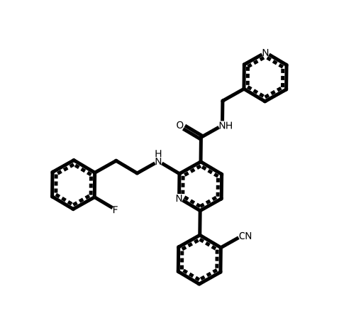 N#Cc1ccccc1-c1ccc(C(=O)NCc2cccnc2)c(NCCc2ccccc2F)n1